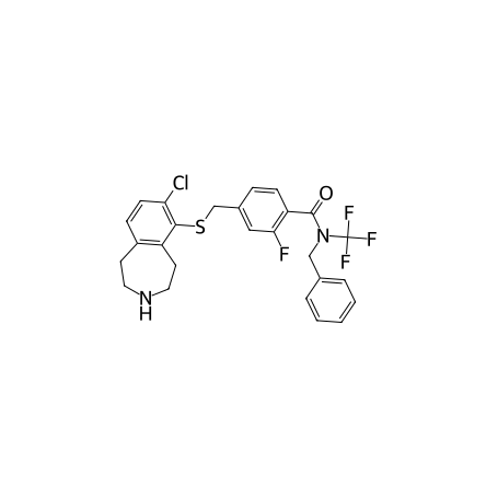 O=C(c1ccc(CSc2c(Cl)ccc3c2CCNCC3)cc1F)N(Cc1ccccc1)C(F)(F)F